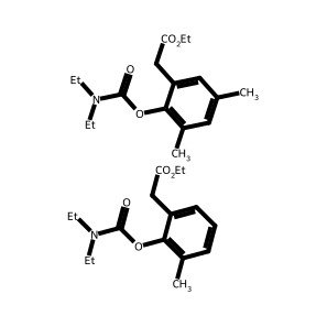 CCOC(=O)Cc1cc(C)cc(C)c1OC(=O)N(CC)CC.CCOC(=O)Cc1cccc(C)c1OC(=O)N(CC)CC